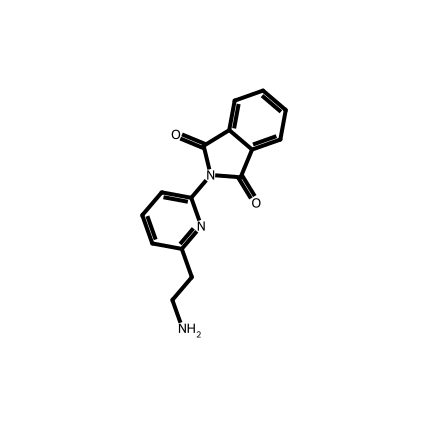 NCCc1cccc(N2C(=O)c3ccccc3C2=O)n1